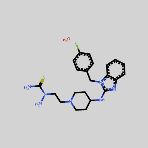 NC(=S)N(N)CCN1CCC(Nc2nc3ccccc3n2Cc2ccc(F)cc2)CC1.O